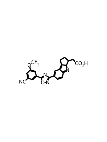 N#Cc1cc(OC(F)(F)F)cc(-c2nc(-c3ccc4c(c3)=C3CCC(CC(=O)O)C3N=4)no2)c1